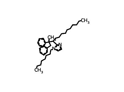 CCCCCCCCCCC(c1nccn1CCCCCCCC)C(C)(Cc1ccccc1)c1ccccc1